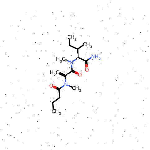 C=C(C(=O)N(C)[C@H](C(N)=O)C(C)CC)N(C)C(=O)CCC